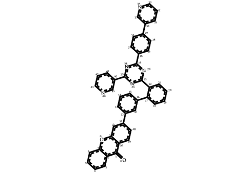 O=c1c2ccccc2oc2cc(-c3cccc(-c4ccccc4-c4nc(-c5ccc(-c6cccnc6)cc5)nc(-c5cccnc5)n4)c3)ccc12